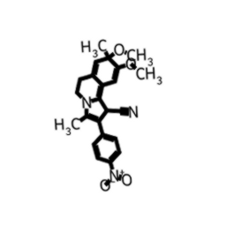 COC1=CC2=C3C(C#N)C(c4ccc([N+](=O)[O-])cc4)=C(C)N3CCC2=CC1(C)OC